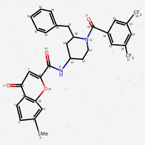 CSc1ccc2c(=O)cc(C(=O)NC3CCN(C(=O)c4cc(C(F)(F)F)cc(C(F)(F)F)c4)C(Cc4ccccc4)C3)oc2c1